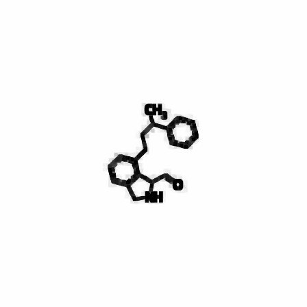 CC(CCc1cccc2c1C(C=O)NC2)c1ccccc1